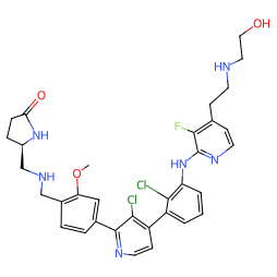 COc1cc(-c2nccc(-c3cccc(Nc4nccc(CCNCCO)c4F)c3Cl)c2Cl)ccc1CNC[C@H]1CCC(=O)N1